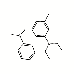 CCN(CC)c1cccc(C)c1.CN(C)c1ccccc1